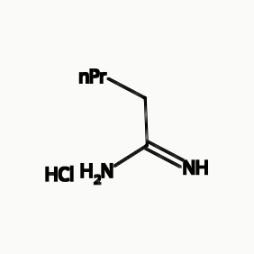 CCCCC(=N)N.Cl